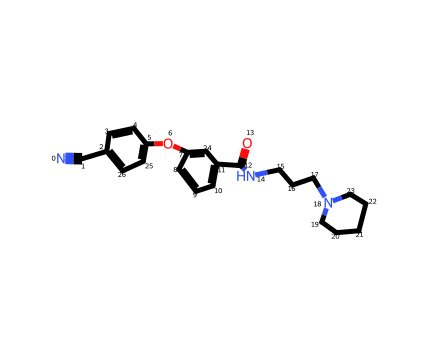 N#Cc1ccc(Oc2cccc(C(=O)NCCCN3CCCCC3)c2)cc1